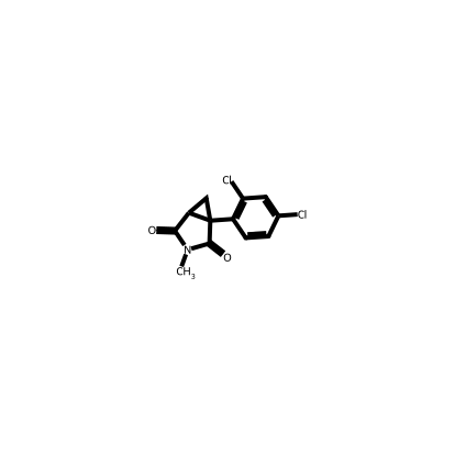 CN1C(=O)C2CC2(c2ccc(Cl)cc2Cl)C1=O